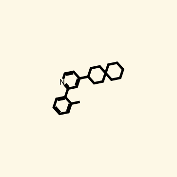 Cc1ccccc1-c1cc(C2CCC3(CCCCC3)CC2)ccn1